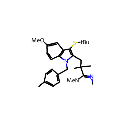 C/N=C(\NC)C(C)(C)Cc1c(SC(C)(C)C)c2cc(OC)ccc2n1Cc1ccc(C)cc1